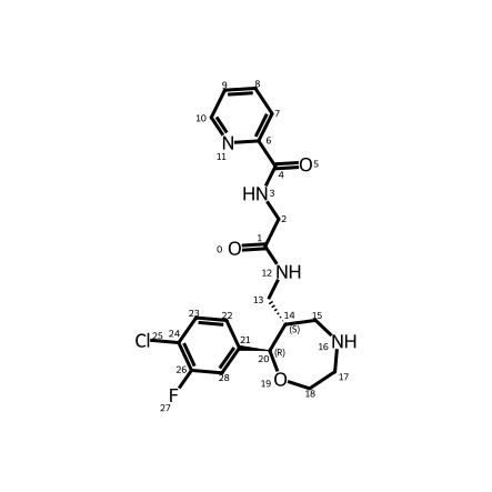 O=C(CNC(=O)c1ccccn1)NC[C@@H]1CNCCO[C@H]1c1ccc(Cl)c(F)c1